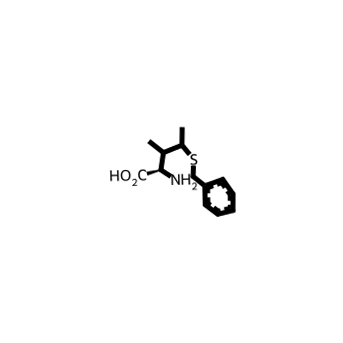 CC(SCc1ccccc1)C(C)[C@@H](N)C(=O)O